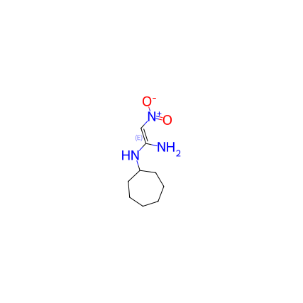 N/C(=C\[N+](=O)[O-])NC1CCCCCC1